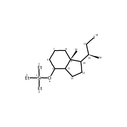 CC[Si](CC)(CC)OC1CCC[C@@]2(C)C1CCC2[C@H](C)CI